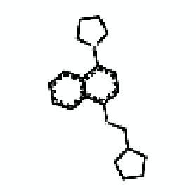 c1ccc2c([S+]3CCCC3)ccc(OCC3CCCC3)c2c1